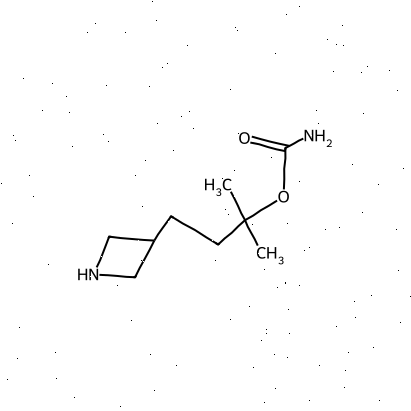 CC(C)(CCC1CNC1)OC(N)=O